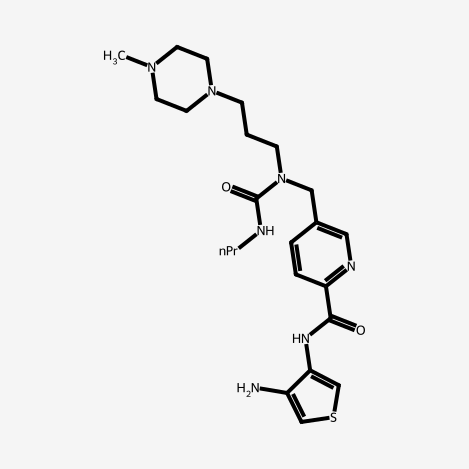 CCCNC(=O)N(CCCN1CCN(C)CC1)Cc1ccc(C(=O)Nc2cscc2N)nc1